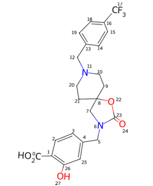 O=C(O)c1ccc(CN2CC3(CCN(Cc4ccc(C(F)(F)F)cc4)CC3)OC2=O)cc1O